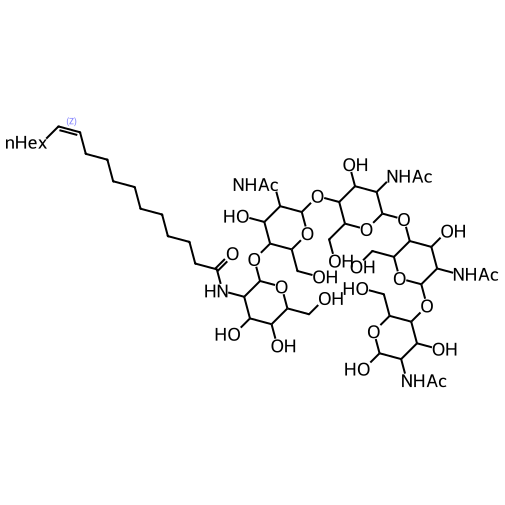 CCCCCC/C=C\CCCCCCCCCC(=O)NC1C(OC2C(CO)OC(OC3C(CO)OC(OC4C(CO)OC(OC5C(CO)OC(O)C(NC(C)=O)C5O)C(NC(C)=O)C4O)C(NC(C)=O)C3O)C(NC(C)=O)C2O)OC(CO)C(O)C1O